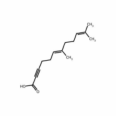 CC(C)=CCC/C(C)=C/CCC#CC(=O)O